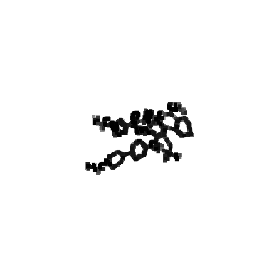 CC(C)c1ccccc1-c1nc(NS(=O)(=O)c2cnn(C)c2)nc(Oc2ccc(C3CCN(C)CC3)cc2)c1CC(F)(F)F